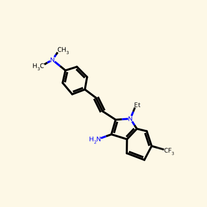 CCn1c(C#Cc2ccc(N(C)C)cc2)c(N)c2ccc(C(F)(F)F)cc21